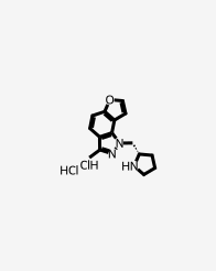 Cc1nn(C[C@@H]2CCCN2)c2c1ccc1occc12.Cl.Cl